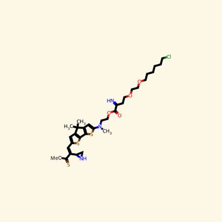 COC(=S)/C(=C/c1cc2c(s1)-c1sc(N(C)CCOC(=O)C(=N)CCOCCOCCCCCCCl)cc1C2(C)C)C1CN1